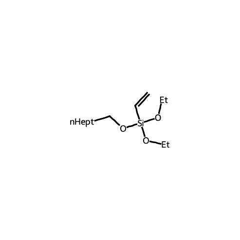 C=C[Si](OCC)(OCC)OCCCCCCCC